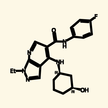 CCn1ncc2c(N[C@@H]3CCC[C@H](O)C3)c(C(=O)Nc3ccc(F)cc3)cnc21